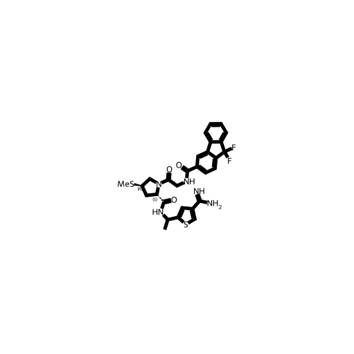 CS[C@@H]1C[C@@H](C(=O)NC(C)c2cc(C(=N)N)cs2)N(C(=O)CNC(=O)c2ccc3c(c2)-c2ccccc2C3(F)F)C1